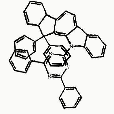 C1=CC2c3ccc4c5ccccc5n(-c5nc(-c6ccccc6)nc(-c6ccccc6)n5)c4c3C(c3ccccc3)(c3ccccc3)C2C=C1